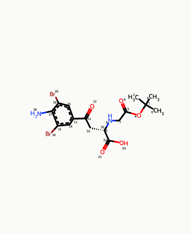 CC(C)(C)OC(=O)CN[C@@H](CC(=O)c1cc(Br)c(N)c(Br)c1)C(=O)O